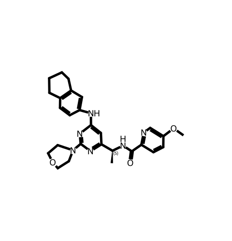 COc1ccc(C(=O)N[C@@H](C)c2cc(Nc3ccc4c(c3)CCCC4)nc(N3CCOCC3)n2)nc1